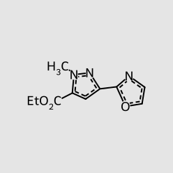 CCOC(=O)c1cc(-c2ncco2)nn1C